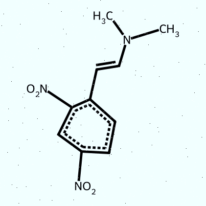 CN(C)C=Cc1ccc([N+](=O)[O-])cc1[N+](=O)[O-]